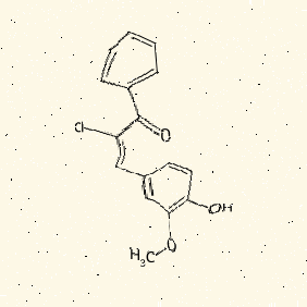 COc1cc(/C=C(/Cl)C(=O)c2ccccc2)ccc1O